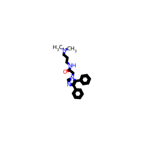 CN(C)CCCNC(=O)Cn1cnc(-c2ccccc2)c1-c1ccccc1